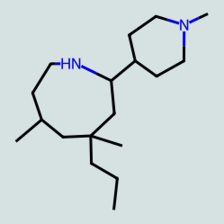 CCCC1(C)CC(C)CCNC(C2CCN(C)CC2)C1